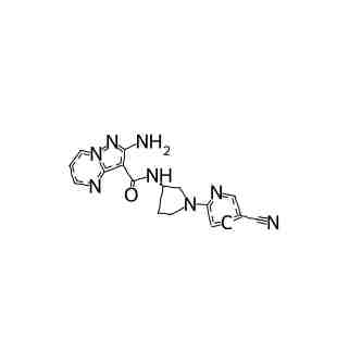 N#Cc1ccc(N2CC[C@@H](NC(=O)c3c(N)nn4cccnc34)C2)nc1